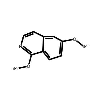 CC(C)Oc1ccc2c(OC(C)C)nccc2c1